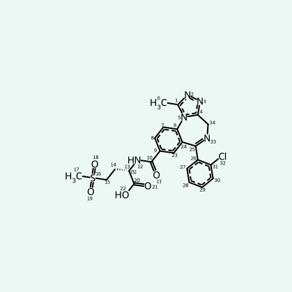 Cc1nnc2n1-c1ccc(C(=O)N[C@@H](CCS(C)(=O)=O)C(=O)O)cc1C(c1ccccc1Cl)=NC2